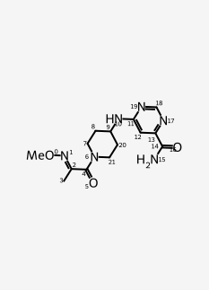 CON=C(C)C(=O)N1CCC(Nc2cc(C(N)=O)ncn2)CC1